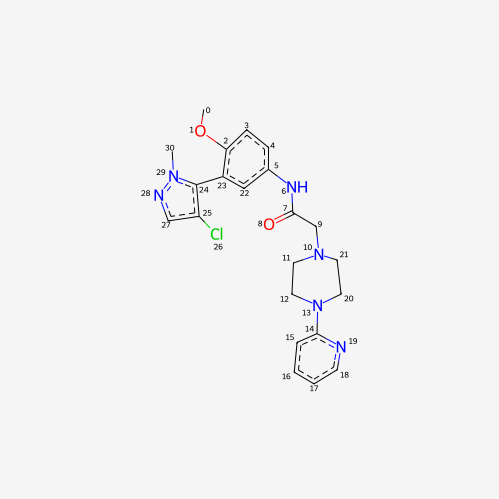 COc1ccc(NC(=O)CN2CCN(c3ccccn3)CC2)cc1-c1c(Cl)cnn1C